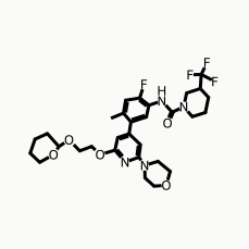 Cc1cc(F)c(NC(=O)N2CCCC(C(F)(F)F)C2)cc1-c1cc(OCCOC2CCCCO2)nc(N2CCOCC2)c1